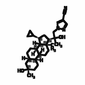 CC(O)(Cn1cc(C#N)cn1)[C@H]1C[C@@H](C2CC2)[C@H]2[C@@H]3CC[C@@H]4C[C@](C)(O)CC[C@@H]4[C@H]3CC[C@@]21C